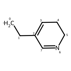 [CH2]CC1=CCCN=C1